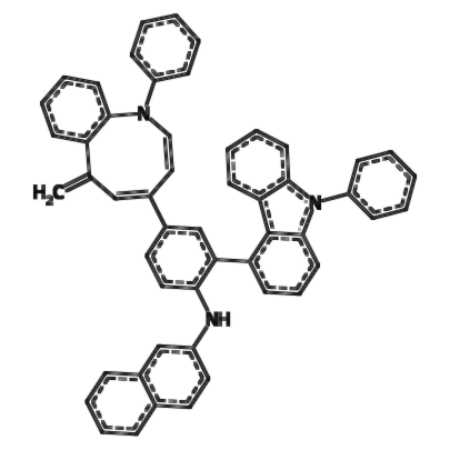 C=C1/C=C(c2ccc(Nc3ccc4ccccc4c3)c(-c3cccc4c3c3ccccc3n4-c3ccccc3)c2)\C=C/N(c2ccccc2)c2ccccc21